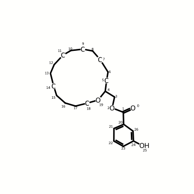 O=C(OCC1CCCCCCCCCCCCCCO1)c1cccc(O)c1